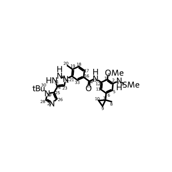 COc1c(NSC)cc(C2(C)CC2)cc1NC(=O)c1ccc(C)c(N2C=C(c3cncn3C(C)(C)C)NN2)c1